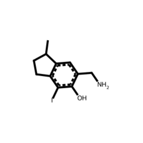 CC1CCc2c1cc(CN)c(O)c2I